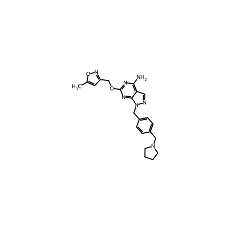 Cc1cc(COc2nc(N)c3cnn(Cc4ccc(CN5CCCC5)cc4)c3n2)no1